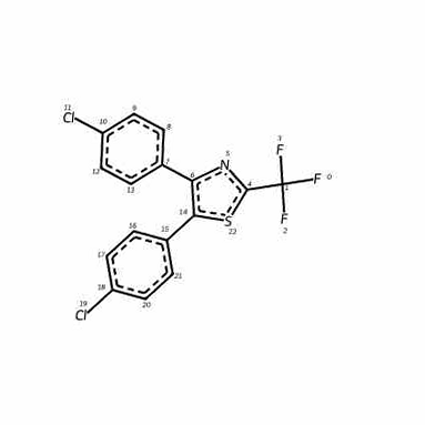 FC(F)(F)c1nc(-c2ccc(Cl)cc2)c(-c2ccc(Cl)cc2)s1